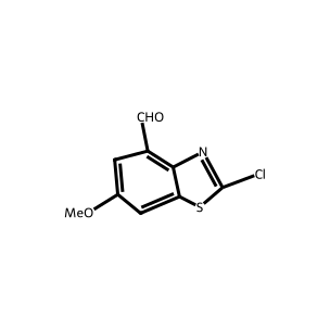 COc1cc(C=O)c2nc(Cl)sc2c1